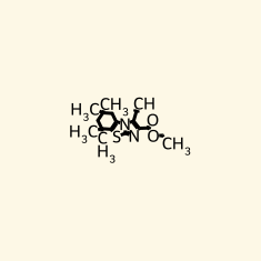 C#Cc1c(C(=O)OCC)nc2sc3c(n12)CC(C)(C)CC3(C)C